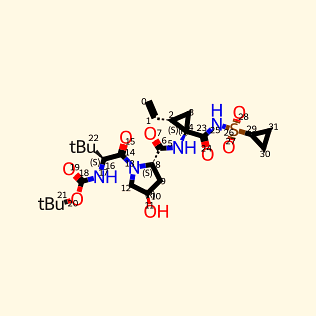 C=C[C@@H]1C[C@]1(NC(=O)[C@@H]1C[C@@H](O)CN1C(=O)[C@@H](NC(=O)OC(C)(C)C)C(C)(C)C)C(=O)NS(=O)(=O)C1CC1